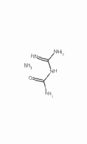 N.N=C(N)NC(N)=O